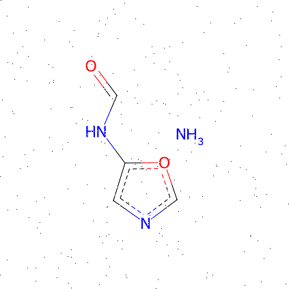 N.O=CNc1cnco1